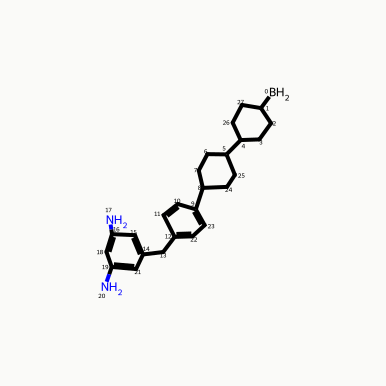 BC1CCC(C2CCC(c3ccc(Cc4cc(N)cc(N)c4)cc3)CC2)CC1